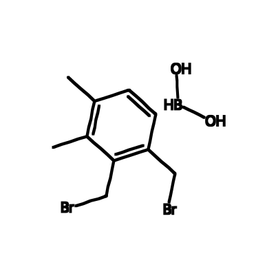 Cc1ccc(CBr)c(CBr)c1C.OBO